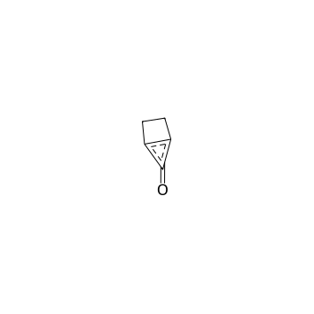 O=c1c2c1CC2